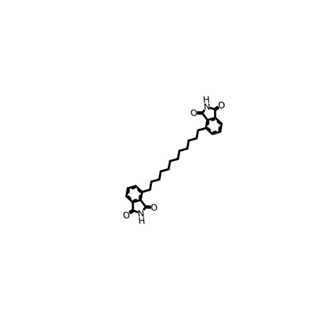 O=C1NC(=O)c2c(CCCCCCCCCCCCc3cccc4c3C(=O)NC4=O)cccc21